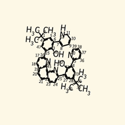 CC(C)(C)c1cc(C2=CC=CCN2)c(O)c(-c2ccc3ccc4ccc(-c5cc(C(C)(C)C)cc(-c6ccccn6)c5O)nc4c3n2)c1